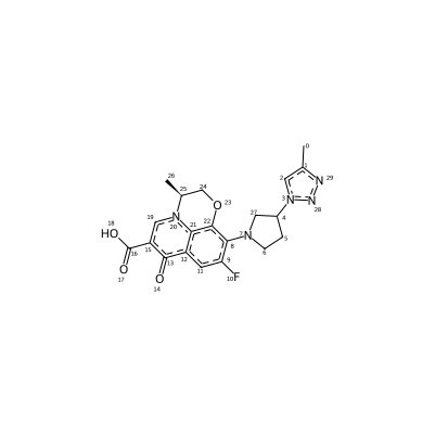 Cc1cn(C2CCN(c3c(F)cc4c(=O)c(C(=O)O)cn5c4c3OC[C@@H]5C)C2)nn1